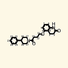 O=C1CCc2c(cccc2OCCCC(=O)N2CCC(c3ccccc3)CC2)N1